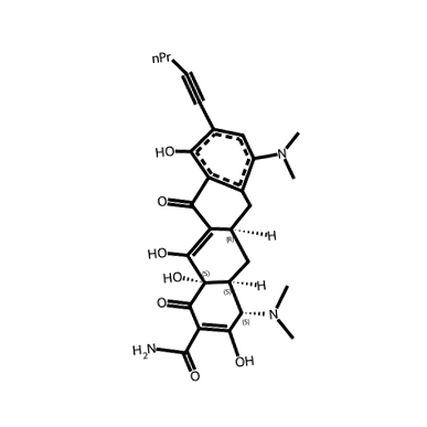 CCCC#Cc1cc(N(C)C)c2c(c1O)C(=O)C1=C(O)[C@]3(O)C(=O)C(C(N)=O)=C(O)[C@@H](N(C)C)[C@@H]3C[C@@H]1C2